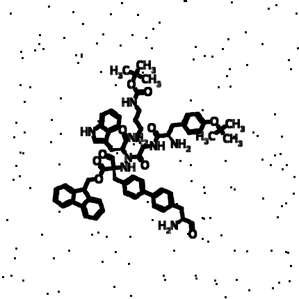 CC(C)(C)OC(=O)NCCCC[C@H](NC(=O)[C@@H](N)Cc1ccc(OC(C)(C)C)cc1)C(=O)N(N[C@](C=O)(Cc1ccc(-c2ccc(C[C@H](N)C=O)cc2)cc1)C(=O)OCC1c2ccccc2-c2ccccc21)[C@@H](Cc1c[nH]c2ccccc12)C(N)=O